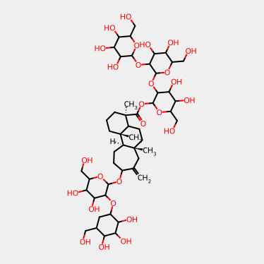 C=C1C[C@@]2(C)CCC3[C@](C)(C(=O)OC4OC(CO)C(O)C(O)C4OC4OC(CO)C(O)C(O)C4OC4OC(CO)C(O)C(O)C4O)CCC[C@@]3(C)[C@@H]2CCC1OC1OC(CO)C(O)C(O)C1OC1CC(CO)C(O)C(O)C1O